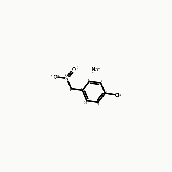 O=S([O-])Cc1ccc(Cl)cc1.[Na+]